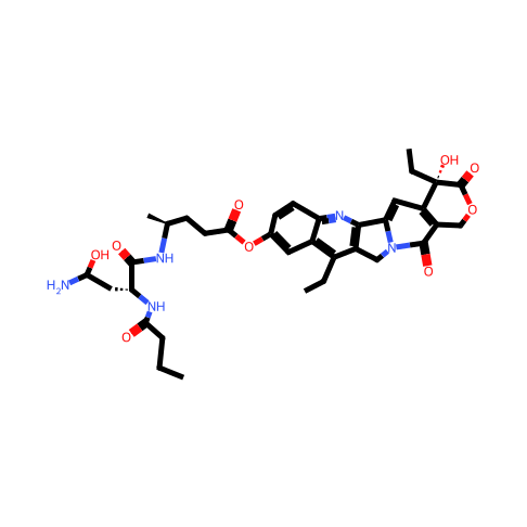 CCCC(=O)N[C@H](CC(N)O)C(=O)N[C@@H](C)CCC(=O)Oc1ccc2nc3c(c(CC)c2c1)Cn1c-3cc2c(c1=O)COC(=O)[C@]2(O)CC